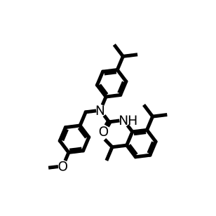 COc1ccc(CN(C(=O)Nc2c(C(C)C)cccc2C(C)C)c2ccc(C(C)C)cc2)cc1